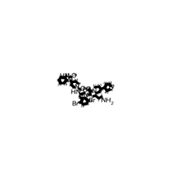 NCCCC[C@H](NC(=O)[C@H](Cc1cc(Br)ccc1Br)NC(=O)N1CCC(n2c(=O)[nH]c3ccccc32)CC1)C(=O)N1CCC(c2ccncc2)CC1